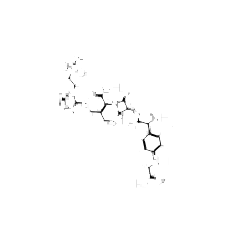 NC(C(=O)NC1C(=O)N2C(C(=O)O)=C(CSc3nnnn3CCS(=O)(=O)O)CS[C@H]12)c1ccc(NCC(=O)O)cc1